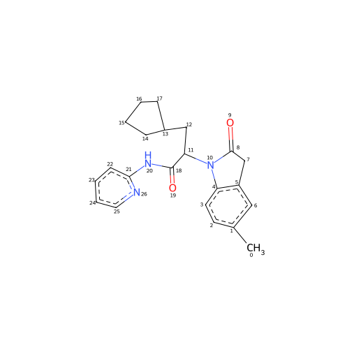 Cc1ccc2c(c1)CC(=O)N2C(CC1CCCC1)C(=O)Nc1ccccn1